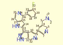 CN(C)Cc1cncc(-c2cc3c(-c4cc5c(-c6cccc(F)c6)nccc5[nH]4)n[nH]c3cn2)c1